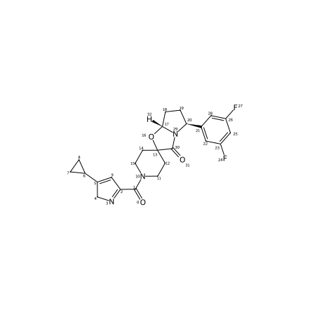 O=C(C1=NCC(C2CC2)=C1)N1CCC2(CC1)O[C@@H]1CC[C@@H](c3cc(F)cc(F)c3)N1C2=O